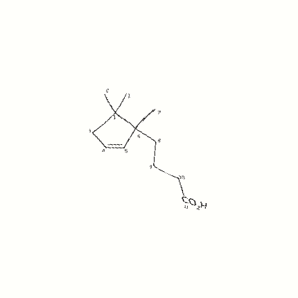 CC1(C)CC=CC1(C)CCCC(=O)O